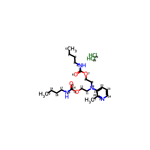 CCCCNC(=O)OCCN(CCOC(=O)NCCCC)c1cccnc1C.Cl.Cl